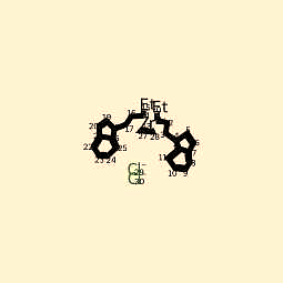 CC[CH](CCC1C=Cc2ccccc21)[Zr+2]1([CH](CC)CCC2C=Cc3ccccc32)[CH2][CH2]1.[Cl-].[Cl-]